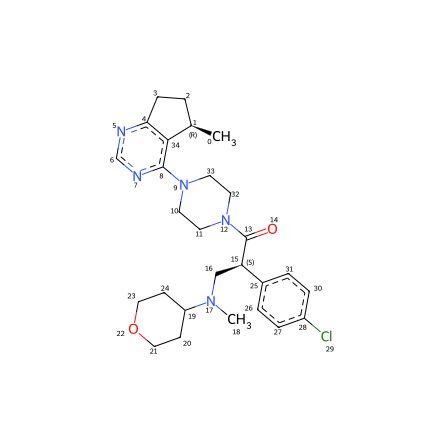 C[C@@H]1CCc2ncnc(N3CCN(C(=O)[C@H](CN(C)C4CCOCC4)c4ccc(Cl)cc4)CC3)c21